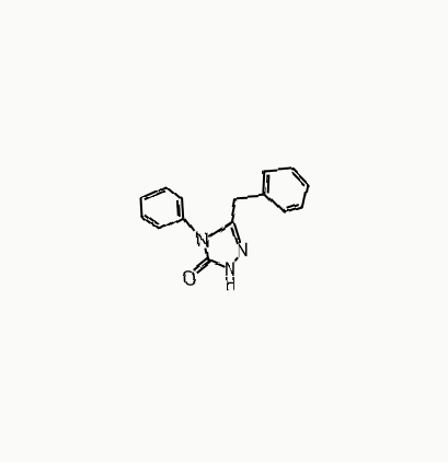 O=c1[nH]nc(Cc2ccccc2)n1-c1ccccc1